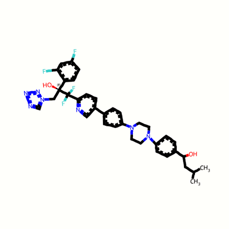 CC(C)CC(O)c1ccc(N2CCN(c3ccc(-c4ccc(C(F)(F)[C@](O)(Cn5cnnn5)c5ccc(F)cc5F)nc4)cc3)CC2)cc1